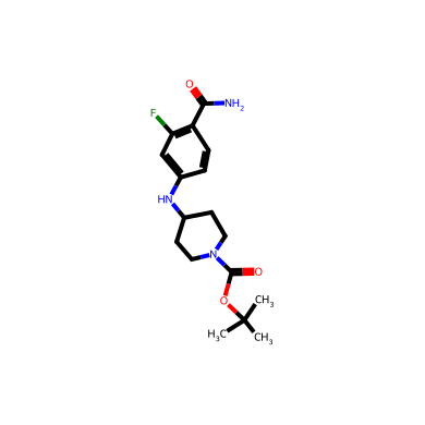 CC(C)(C)OC(=O)N1CCC(Nc2ccc(C(N)=O)c(F)c2)CC1